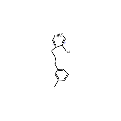 C/C=C(CCOc1cccc(F)c1)\C(O)=C/C